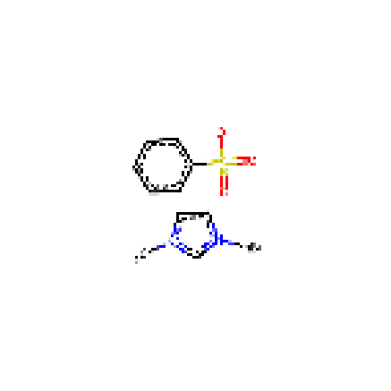 CCCC[n+]1ccn(C)c1.O=S(=O)([O-])c1ccccc1